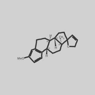 COc1ccc2c(c1)CC[C@@H]1[C@@H]2CC[C@@]2(C)[C@H]1CCC21C=CCO1